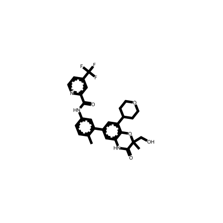 Cc1ccc(NC(=O)c2cc(C(F)(F)F)ccn2)cc1-c1cc2c(c(C3CCOCC3)c1)OC(C)(CO)C(=O)N2